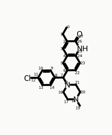 CCc1cc2cc(C(c3ccc(Cl)cc3)N3CCN(C)CC3)ccc2[nH]c1=O